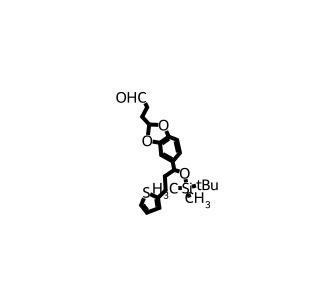 CC(C)(C)[Si](C)(C)OC(CCc1cccs1)c1ccc2c(c1)OC(CCC=O)O2